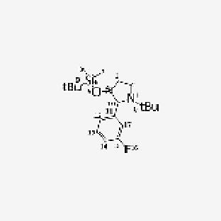 CC(C)(C)N1CC[C@H](O[Si](C)(C)C(C)(C)C)C1c1cccc(F)c1